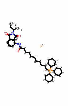 CCC(C)N1C(=O)c2cccc(NC(=O)CCCCCCCCCC[P+](C3CCCCC3)(C3CCCCC3)C3CCCCC3)c2C1=O.[Br-]